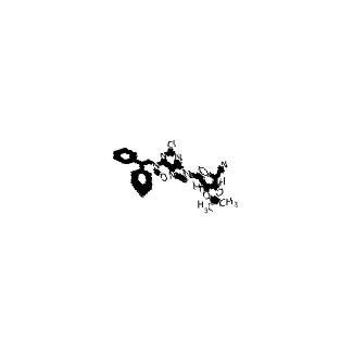 CC1(C)O[C@@H]2C(C#N)OC(n3cnc4c(N(C=O)CC(c5ccccc5)c5ccccc5)nc(Cl)nc43)[C@@H]2O1